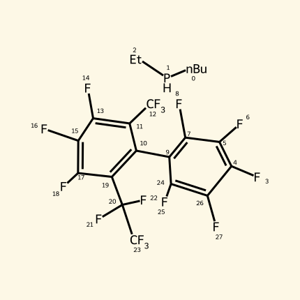 CCCCPCC.Fc1c(F)c(F)c(-c2c(C(F)(F)F)c(F)c(F)c(F)c2C(F)(F)C(F)(F)F)c(F)c1F